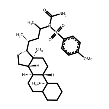 COc1ccc(S(=O)(=O)N(C(N)=O)C(C)C[C@@H](C)[C@H]2CC[C@H]3[C@@H]4CCC5CCCC[C@]5(C)[C@H]4CC[C@]23C)cc1